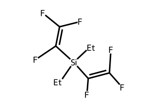 CC[Si](CC)(C(F)=C(F)F)C(F)=C(F)F